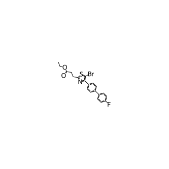 CCOC(=O)CCc1nc(-c2ccc(-c3ccc(F)cc3)cc2)c(Br)s1